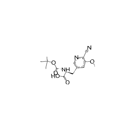 COc1cc(C[C@H](NC(=O)OC(C)(C)C)C(=O)O)cnc1C#N